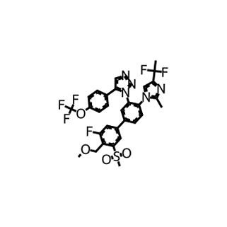 COCc1c(F)cc(-c2ccc(-n3cc(C(C)(F)F)nc3C)c(-n3nncc3-c3ccc(OC(F)(F)F)cc3)c2)cc1S(C)(=O)=O